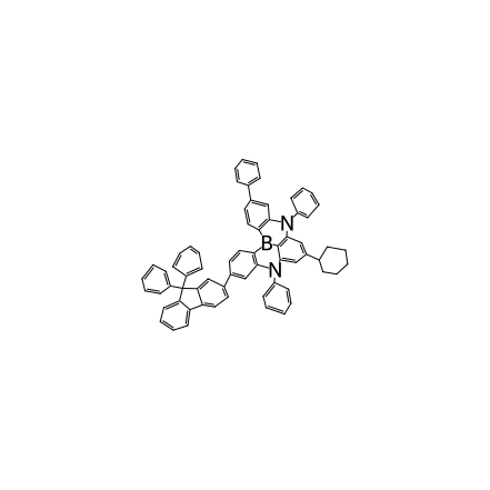 c1ccc(-c2ccc3c(c2)N(c2ccccc2)c2cc(C4CCCCC4)cc4c2B3c2ccc(-c3ccc5c(c3)C(c3ccccc3)(c3ccccc3)c3ccccc3-5)cc2N4c2ccccc2)cc1